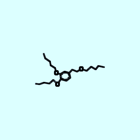 CCCCCOCCc1ccc(OCCCCC)c(OCCCCC)c1